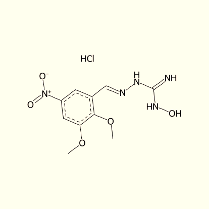 COc1cc([N+](=O)[O-])cc(C=NNC(=N)NO)c1OC.Cl